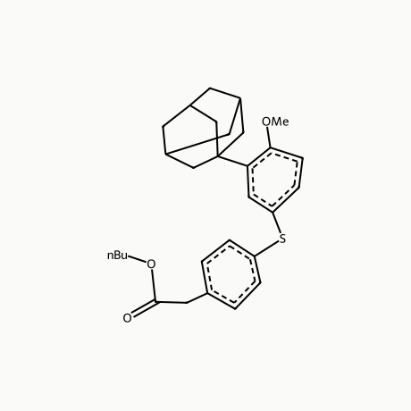 CCCCOC(=O)Cc1ccc(Sc2ccc(OC)c(C34CC5CC(CC(C5)C3)C4)c2)cc1